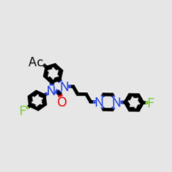 CC(=O)c1ccc2c(c1)n(-c1ccc(F)cc1)c(=O)n2CCCCN1CCN(c2ccc(F)cc2)CC1